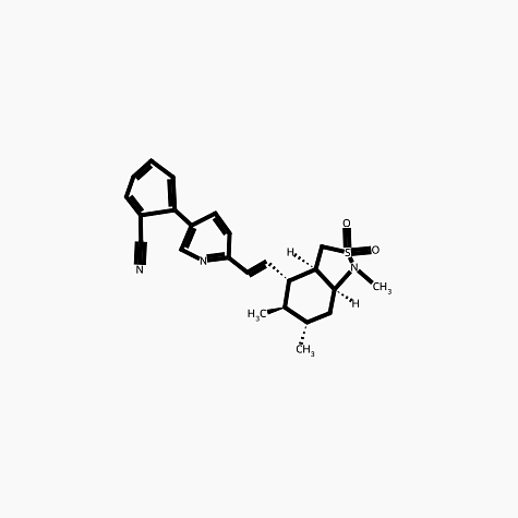 C[C@H]1[C@H](/C=C/c2ccc(-c3ccccc3C#N)cn2)[C@H]2CS(=O)(=O)N(C)[C@H]2C[C@@H]1C